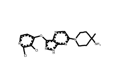 CC1(N)CCN(c2cnc3c(Oc4ccnc(Cl)c4Cl)n[nH]c3n2)CC1